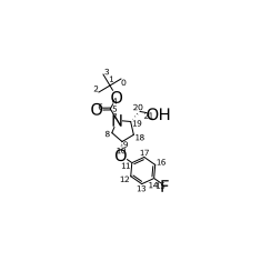 CC(C)(C)OC(=O)N1C[C@@H](Oc2ccc(F)cc2)C[C@H]1CO